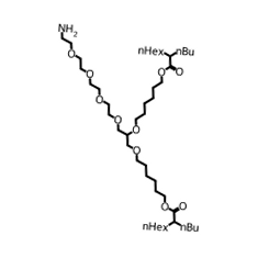 CCCCCCC(CCCC)C(=O)OCCCCCCOCC(COCCOCCOCCOCCN)OCCCCCCOC(=O)C(CCCC)CCCCCC